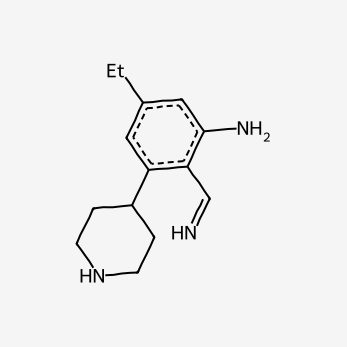 CCc1cc(N)c(C=N)c(C2CCNCC2)c1